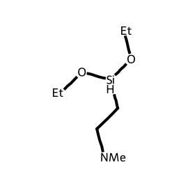 CCO[SiH](CCNC)OCC